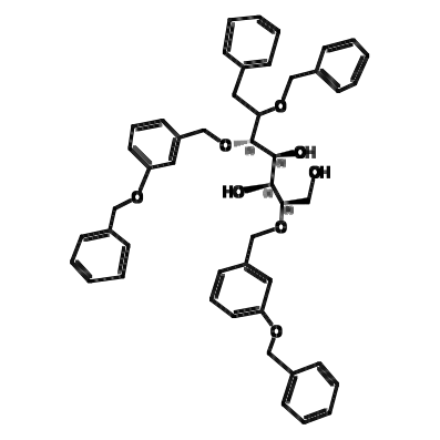 OC[C@@H](OCc1cccc(OCc2ccccc2)c1)[C@@H](O)[C@H](O)[C@H](OCc1cccc(OCc2ccccc2)c1)C(Cc1ccccc1)OCc1ccccc1